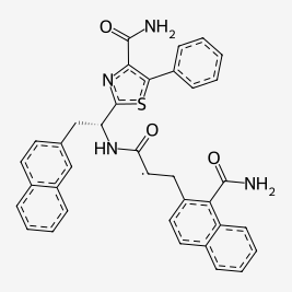 NC(=O)c1nc([C@@H](Cc2ccc3ccccc3c2)NC(=O)[CH]Cc2ccc3ccccc3c2C(N)=O)sc1-c1ccccc1